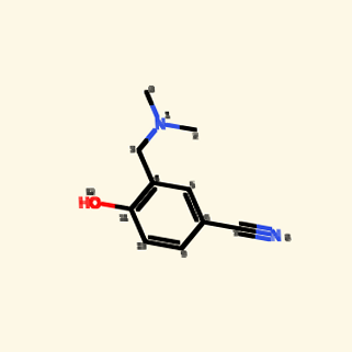 CN(C)Cc1cc(C#N)ccc1O